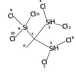 CC([SiH](Cl)Cl)([SiH](Cl)Cl)[Si](Cl)(Cl)Cl